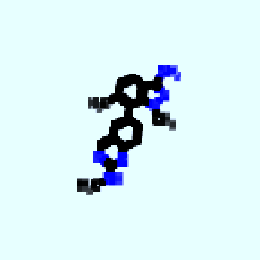 CNc1ncc2cc(-c3c(C)ccc4c(N)nn(C)c34)ccc2n1